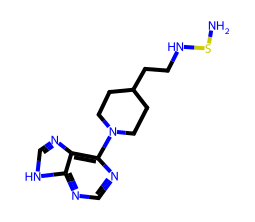 NSNCCC1CCN(c2ncnc3[nH]cnc23)CC1